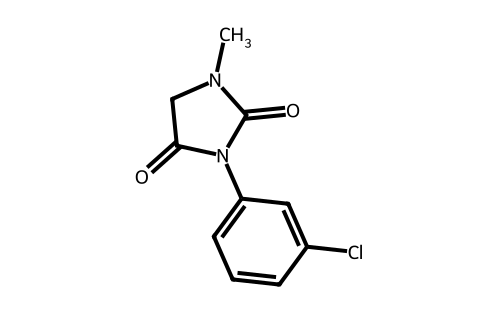 CN1CC(=O)N(c2cccc(Cl)c2)C1=O